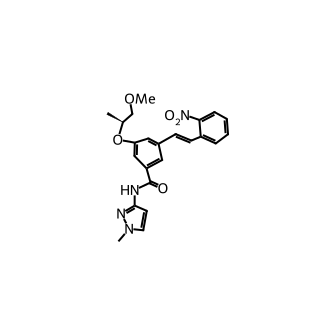 COC[C@H](C)Oc1cc(C=Cc2ccccc2[N+](=O)[O-])cc(C(=O)Nc2ccn(C)n2)c1